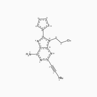 CCCCC#Cc1nc(N)c2nc(-c3cccs3)n(CCCl)c2n1